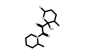 CC1CCCCN1C(=O)C(=O)C1(O)OC(F)CCC1C